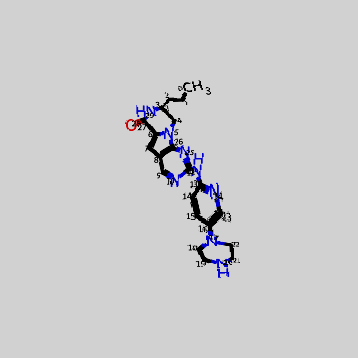 CCC[C@H]1Cn2c(cc3cnc(Nc4ccc(N5CCNCC5)cn4)nc32)C(=O)N1